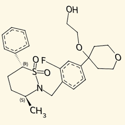 C[C@H]1CC[C@H](c2ccccc2)S(=O)(=O)N1Cc1ccc(C2(OCCO)CCOCC2)cc1F